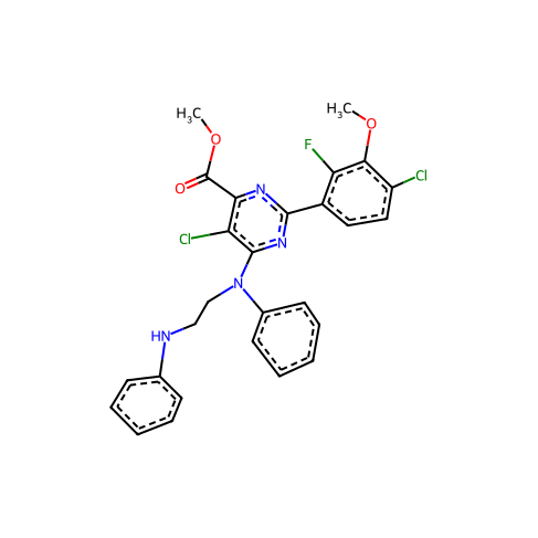 COC(=O)c1nc(-c2ccc(Cl)c(OC)c2F)nc(N(CCNc2ccccc2)c2ccccc2)c1Cl